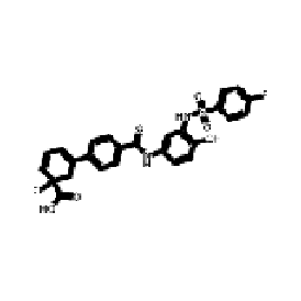 O=C(Nc1ccc(O)c(NS(=O)(=O)c2ccc(F)cc2)c1)c1ccc(C2=CC=CC(Cl)(C(=O)O)C2)cc1